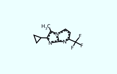 Cc1c(C2CC2)nc2nc(C(F)(F)F)ccn12